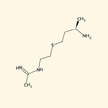 CC(=N)NCCSCC[C@@H](C)N